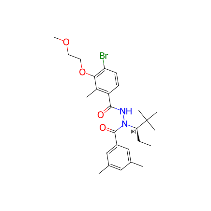 CC[C@@H](N(NC(=O)c1ccc(Br)c(OCCOC)c1C)C(=O)c1cc(C)cc(C)c1)C(C)(C)C